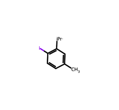 C[C](C)c1cc(C)ccc1I